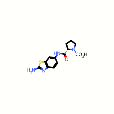 Nc1nc2ccc(NC(=O)[C@@H]3CCCN3C(=O)O)cc2s1